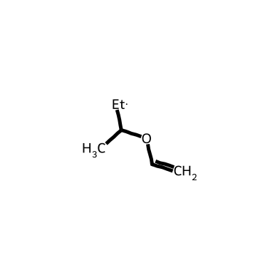 C=COC(C)[CH]C